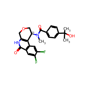 CN(C(=O)c1ccc(C(C)(C)O)cc1)[C@@H]1COCc2[nH]c(=O)c3cc(F)c(F)cc3c21